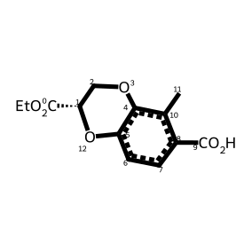 CCOC(=O)[C@@H]1COc2c(ccc(C(=O)O)c2C)O1